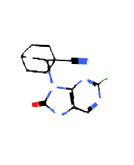 N#CC12CCC(CC1)CC2n1c(=O)[nH]c2cnc(Cl)nc21